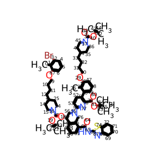 Cc1c(Br)cccc1OCCCCC1CCN(C(=O)OC(C)(C)C)CC1.Cc1c(OCCCCC2CCN(C(=O)OC(C)(C)C)CC2)cccc1-c1ccc(N2CCc3cccc(C(=O)Nc4nc5ccccc5s4)c3C2)nc1C(=O)OC(C)(C)C